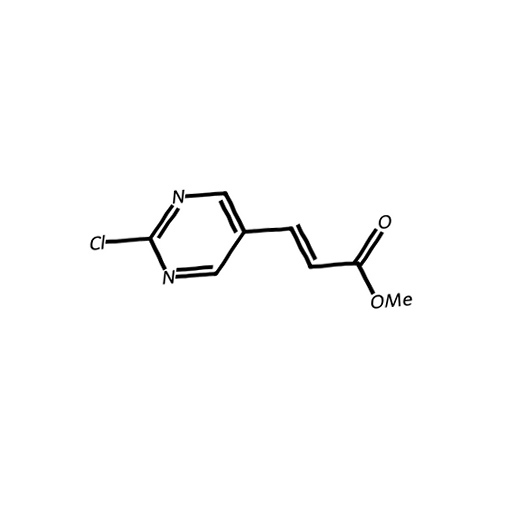 COC(=O)C=Cc1cnc(Cl)nc1